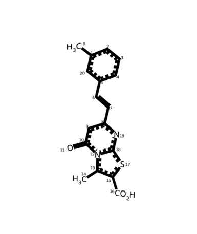 Cc1cccc(/C=C/c2cc(=O)n3c(C)c(C(=O)O)sc3n2)c1